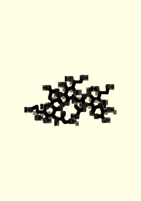 CCC(=O)N[C@H](C(=O)N[C@@H](CC(=O)O)C(=O)N[C@H](C(=O)N[C@@H](CC(=O)O)C(=O)N[C@H](C(=O)N[C@@H](C)C(=O)O)[C@@H](O)[C@H](O)[C@H](O)CO)[C@@H](O)[C@H](O)[C@H](O)CO)[C@@H](O)[C@H](O)[C@H](O)CO